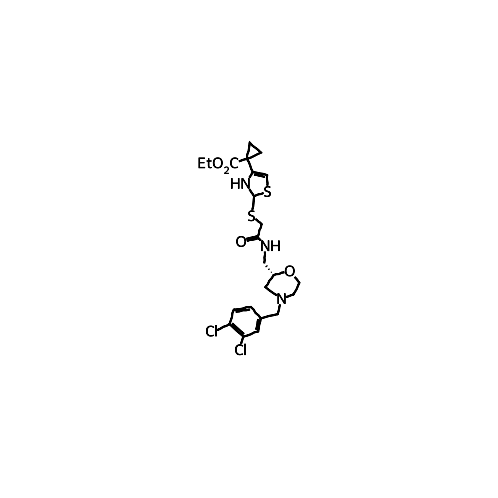 CCOC(=O)C1(C2=CSC(SCC(=O)NC[C@H]3CN(Cc4ccc(Cl)c(Cl)c4)CCO3)N2)CC1